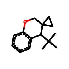 CC(C)(C)C1c2ccccc2OCC12CC2